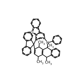 CC1C=C2C(C)C3=C1C(C)c1ccccc1C3(C)N(c1ccccc1)c1cc(c3oc4ccccc4c3c1)C21c2ccccc2-c2ccccc21